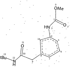 COC(=O)Nc1cccc(CC(=O)NC(C)(C)C)c1